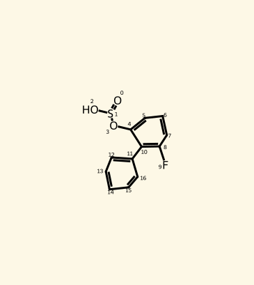 O=S(O)Oc1cccc(F)c1-c1ccccc1